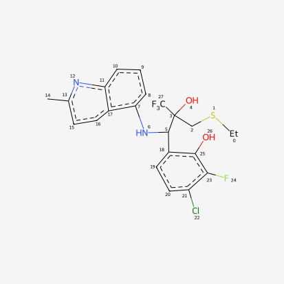 CCSCC(O)(C(Nc1cccc2nc(C)ccc12)c1ccc(Cl)c(F)c1O)C(F)(F)F